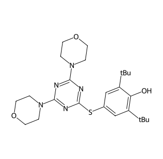 CC(C)(C)c1cc(Sc2nc(N3CCOCC3)nc(N3CCOCC3)n2)cc(C(C)(C)C)c1O